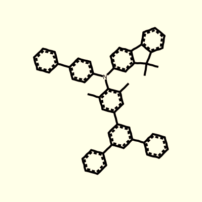 Cc1cc(-c2cc(-c3ccccc3)cc(-c3ccccc3)c2)cc(C)c1N(c1ccc(-c2ccccc2)cc1)c1ccc2c(c1)C(C)(C)c1ccccc1-2